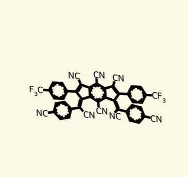 N#CC1=C(c2ccc(C(F)(F)F)cc2)/C(=C(/C#N)c2ccc(C#N)cc2)c2c(C#N)c3c(c(C#N)c21)C(C#N)=C(c1ccc(C(F)(F)F)cc1)/C3=C(/C#N)c1ccc(C#N)cc1